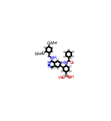 COc1ccc(CNc2nncc3cc(-c4cc(B(O)O)ccc4NC(=O)c4ccccc4)ccc23)c(OC)c1